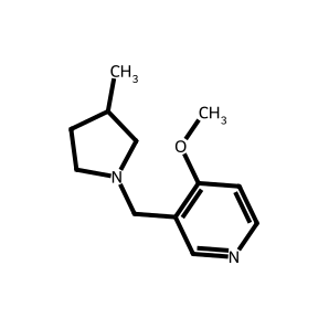 COc1ccncc1CN1CCC(C)C1